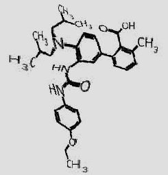 CCOc1ccc(NC(=O)Nc2cc(-c3cccc(C)c3C(=O)O)ccc2N(CC(C)C)CC(C)C)cc1